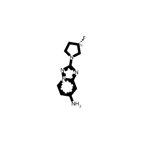 Nc1ccn2nc(N3CC[C@H](F)C3)nc2c1